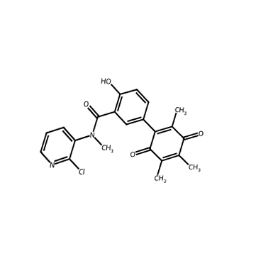 CC1=C(C)C(=O)C(c2ccc(O)c(C(=O)N(C)c3cccnc3Cl)c2)=C(C)C1=O